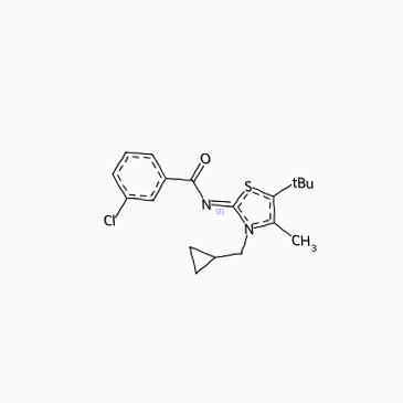 Cc1c(C(C)(C)C)s/c(=N\C(=O)c2cccc(Cl)c2)n1CC1CC1